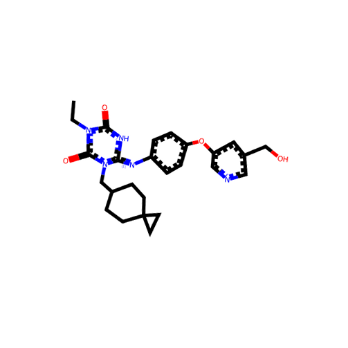 CCn1c(=O)[nH]/c(=N\c2ccc(Oc3cncc(CO)c3)cc2)n(CC2CCC3(CC2)CC3)c1=O